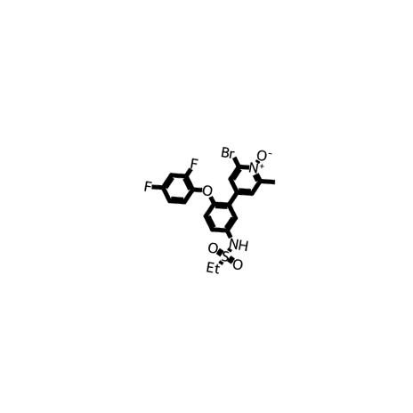 CCS(=O)(=O)Nc1ccc(Oc2ccc(F)cc2F)c(-c2cc(C)[n+]([O-])c(Br)c2)c1